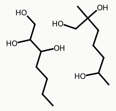 CC(O)CCCC(C)(O)CO.CCCCC(O)C(O)CO